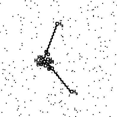 CCCCCCCCCCCCCCCCCCOC(=O)CCC(S)c1c(C)c(O)c(C)c(C(S)CCC(=O)OCCCCCCCCCCCCCCCCCC)c1C